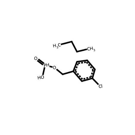 CCCC.O=[PH](O)OCc1cccc(Cl)c1